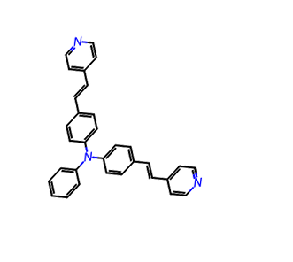 C(=C\c1ccc(N(c2ccccc2)c2ccc(/C=C/c3ccncc3)cc2)cc1)/c1ccncc1